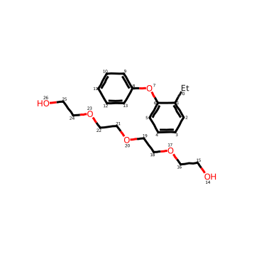 CCc1ccccc1Oc1ccccc1.OCCOCCOCCOCCO